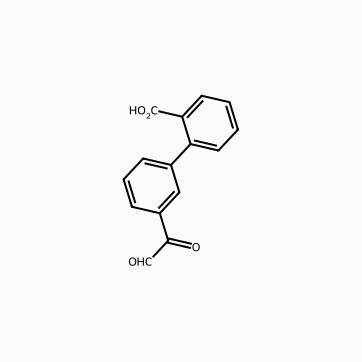 O=CC(=O)c1cccc(-c2ccccc2C(=O)O)c1